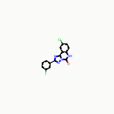 O=c1[nH]c2ccc(Cl)cc2c2nc(-c3cccc(F)c3)nn12